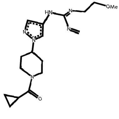 C=N/C(=N\CCOC)Nc1cnn(C2CCN(C(=O)C3CC3)CC2)c1